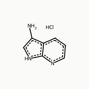 Cl.Nc1c[nH]c2ncccc12